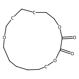 O=C1OCCCCCCOCCCCCCOC1=O